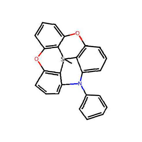 C[Si]12c3c4cccc3Oc3cccc(c31)N(c1ccccc1)c1cccc(c12)O4